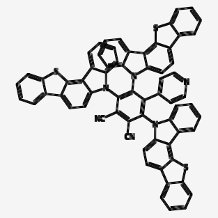 N#Cc1c(C#N)c(-n2c3ccccc3c3c4sc5ccccc5c4ccc32)c(-n2c3ccccc3c3c4sc5ccccc5c4ccc32)c(-c2ccncc2)c1-n1c2ccccc2c2c3sc4ccccc4c3ccc21